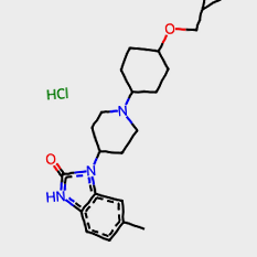 Cc1ccc2[nH]c(=O)n(C3CCN(C4CCC(OCC5CC5)CC4)CC3)c2c1.Cl